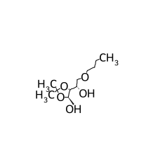 CCCCOC[C@H](O)[C@H]1OC(C)(C)O[C@@H]1CO